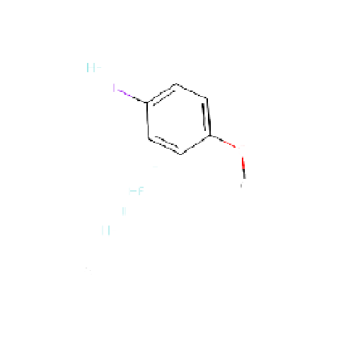 COc1ccc(I)cc1.F.F.F.F.F.F.[As]